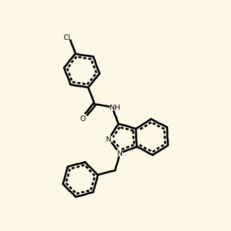 O=C(Nc1nn(Cc2ccccc2)c2ccccc12)c1ccc(Cl)cc1